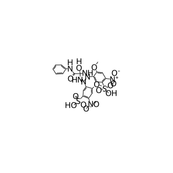 COc1cc([N+](=O)[O-])c(S(=O)(=O)O)cc1N1NC(O)(C(=O)Nc2ccccc2)NN1c1cc(S(=O)(=O)O)c([N+](=O)[O-])cc1OC